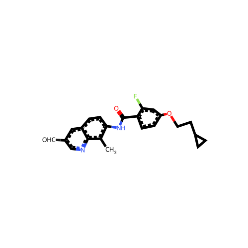 Cc1c(NC(=O)c2ccc(OCCC3CC3)cc2F)ccc2cc(C=O)cnc12